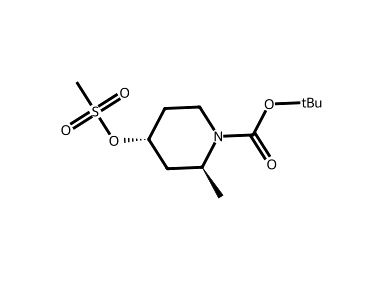 C[C@H]1C[C@H](OS(C)(=O)=O)CCN1C(=O)OC(C)(C)C